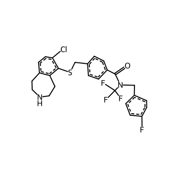 O=C(c1ccc(CSc2c(Cl)ccc3c2CCNCC3)cc1)N(Cc1ccc(F)cc1)C(F)(F)F